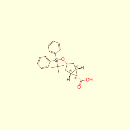 CC(C)(C)[Si](OC1C[C@@H]2[C@H](C1)[C@@H]2C(=O)O)(c1ccccc1)c1ccccc1